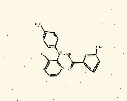 N#Cc1cccc(C(=O)N[C@@H](c2ccc(C(F)(F)F)cc2)c2ncccc2F)c1